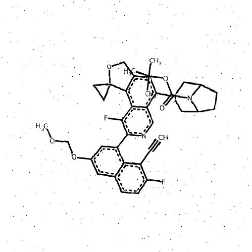 C#Cc1c(F)ccc2cc(OCOC)cc(-c3ncc4c(N5CC6CCC(C5)N6C(=O)OC(C)(C)C)nc5c(c4c3F)C3(CC3)OC5)c12